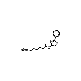 CCCCCCCCCCCCCCCC(=O)OC1COC(c2ccccc2)=N1